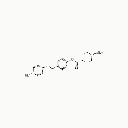 CCCCCCCC[C@H]1CC[C@H](C(=O)Oc2ccc(CCc3ccc(C#N)cc3)nc2)CC1